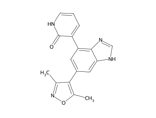 Cc1noc(C)c1-c1cc(-c2ccc[nH]c2=O)c2nc[nH]c2c1